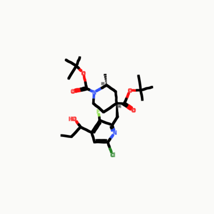 CCC(O)c1cc(Cl)nc(C[C@@]2(C(=O)OC(C)(C)C)CCN(C(=O)OC(C)(C)C)[C@H](C)C2)c1F